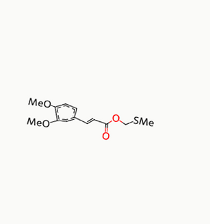 COc1ccc(/C=C/C(=O)OCSC)cc1OC